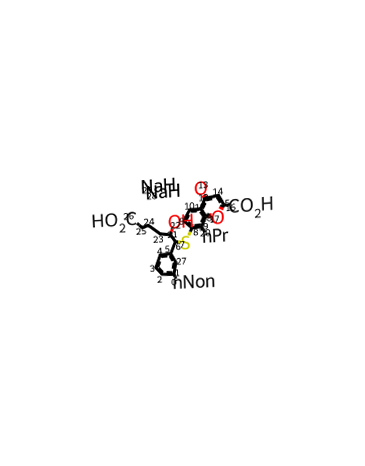 CCCCCCCCCc1cccc(C(Sc2ccc3c(=O)cc(C(=O)O)oc3c2CCC)C(O)CCCC(=O)O)c1.[NaH].[NaH]